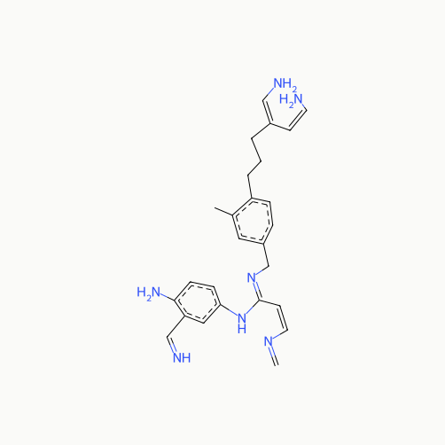 C=N/C=C\C(=N/Cc1ccc(CCCC(/C=C\N)=C/N)c(C)c1)Nc1ccc(N)c(C=N)c1